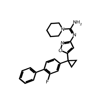 N/C(=N/c1cc(C2(c3ccc(-c4ccccc4)c(F)c3)CC2)on1)N1CCCCC1